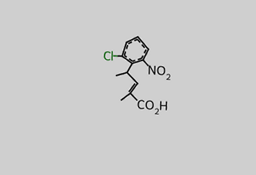 CC(=CC(C)c1c(Cl)cccc1[N+](=O)[O-])C(=O)O